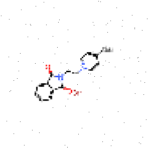 CC(C)(C)c1cc[n+](CCN2C(=O)c3ccccc3C2=O)cc1.[Br-]